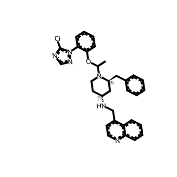 CC(Oc1ccccc1-n1ncnc1Cl)N1CC[C@@H](NCc2ccnc3ccccc23)C[C@@H]1Cc1ccccc1